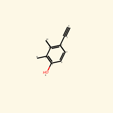 C#Cc1ccc(O)c(C)c1C